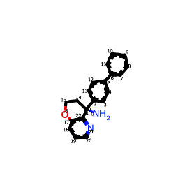 N[C@]1(c2ccc(-c3ccccc3)cc2)CCOc2cccnc21